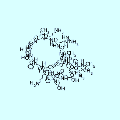 CCCC[C@@H]1NC(=O)[C@H](CCCCN)NC(=O)[C@H](CCCNC(=N)N)NC(=O)[C@H](CC(C)C)NC(=O)C(NC(=O)[C@H](CCSC)NC(=O)[C@@H]2CCCN2C(=O)[C@@H](NC(C)=O)C(C)C)CCSSC[C@@H](C(=O)NC(CCCCN)C(=O)N2CCC[C@H]2C(=O)N2C[C@H](O)C[C@H]2C(=O)N[C@@H](CCC(=O)O)C(N)=O)NC(=O)[C@H](Cc2ccccc2)NC(=O)[C@H](CO)NC(=O)C(C)NC(=O)[C@@H]2CCCN2C1=O